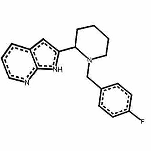 Fc1ccc(CN2CCCCC2c2cc3cccnc3[nH]2)cc1